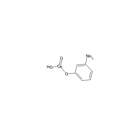 Nc1cccc([O][Ge](=[O])[OH])c1